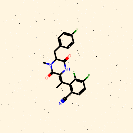 CC(=C1NC(=O)C(Cc2ccc(F)cc2)N(C)C1=O)c1c(C#N)ccc(F)c1F